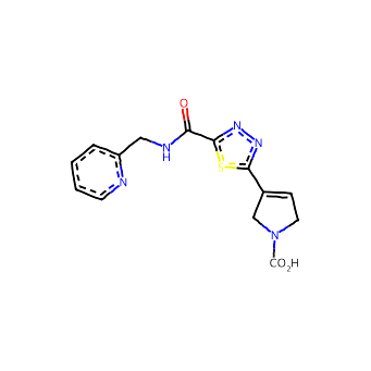 O=C(NCc1ccccn1)c1nnc(C2=CCN(C(=O)O)C2)s1